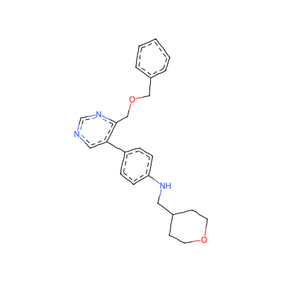 c1ccc(COCc2ncncc2-c2ccc(NCC3CCOCC3)cc2)cc1